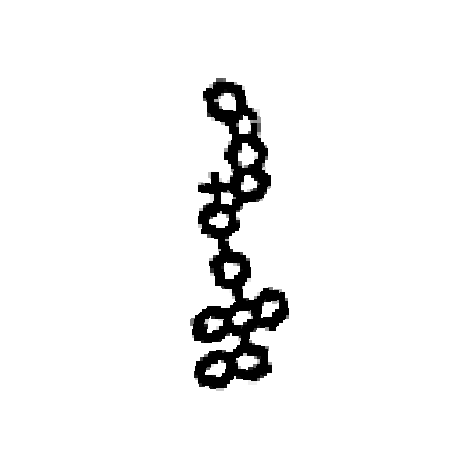 CC1(C)C2=CC=C(c3ccc(-c4c5ccccc5c(C5=CC=CC6C=CC=CC56)c5ccccc45)cc3)CC2c2ccc3cc4sc5ccccc5c4cc3c21